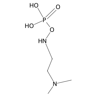 CN(C)CCNOP(=O)(O)O